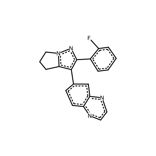 Fc1ccccc1-c1nn2c(c1-c1ccc3nccnc3c1)CCC2